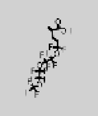 C=C(CCC(F)(F)OC(F)(F)C(F)(F)OC(F)(F)C(F)(F)OC(F)(F)F)C(=O)O